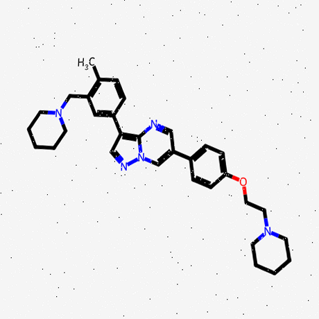 Cc1ccc(-c2cnn3cc(-c4ccc(OCCN5CCCCC5)cc4)cnc23)cc1CN1CCCCC1